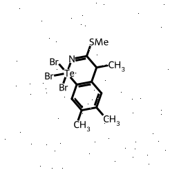 CSC1=N[Te](Br)(Br)(Br)c2cc(C)c(C)cc2C1C